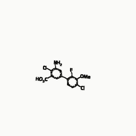 COc1c(Cl)ccc(-c2cc(N)c(Cl)c(C(=O)O)c2)c1F